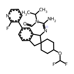 CC(C)N(C=O)/C(N)=N\C1c2cc(-c3cccnc3F)ccc2CC12CCC(OC(F)F)CC2